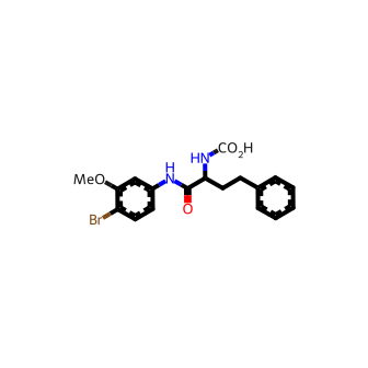 COc1cc(NC(=O)C(CCc2ccccc2)NC(=O)O)ccc1Br